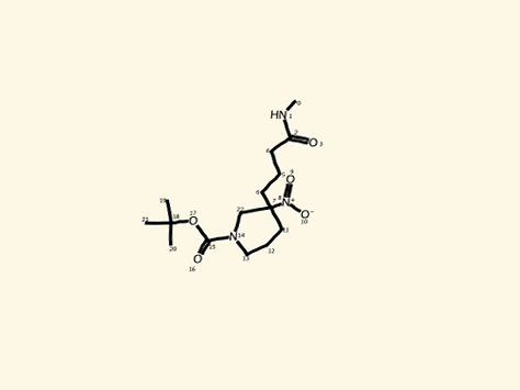 CNC(=O)CCCC1([N+](=O)[O-])CCCN(C(=O)OC(C)(C)C)C1